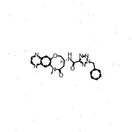 CN1C(=O)C[C@@H](NC(=O)c2nnn(Cc3ccccc3)n2)COc2cc3nccnc3cc21